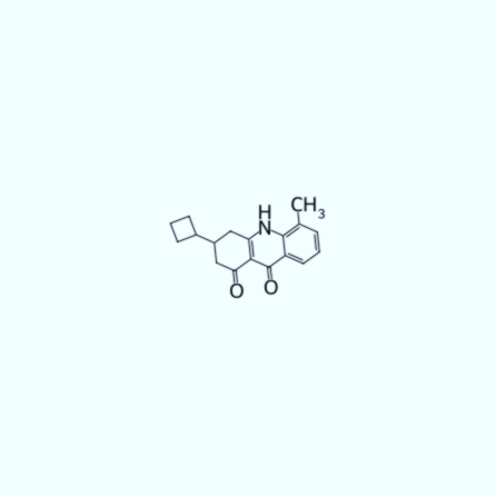 Cc1cccc2c(=O)c3c([nH]c12)CC(C1CCC1)CC3=O